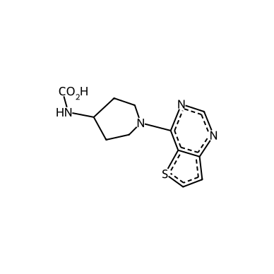 O=C(O)NC1CCN(c2ncnc3ccsc23)CC1